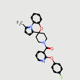 O=C(c1cccnc1Oc1ccc(F)cc1)N1CCC2(CC1)Oc1ccccc1-n1c(C(F)(F)F)ccc12